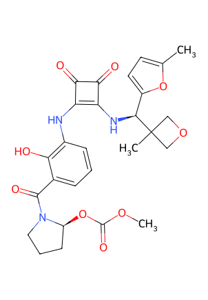 COC(=O)O[C@H]1CCCN1C(=O)c1cccc(Nc2c(N[C@@H](c3ccc(C)o3)C3(C)COC3)c(=O)c2=O)c1O